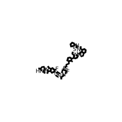 C=Cc1nc(N2CCc3cccc(C(=C)Nc4nc5ccccc5s4)c3C2)ccc1-c1cccc(CCCC[C@@H]2CCN(CC(=C)N3CCN(c4cc5c(=C)n(C6CCC(=C)NC6=C)c(=C)c5cc4F)CC3)CC2(F)F)c1C